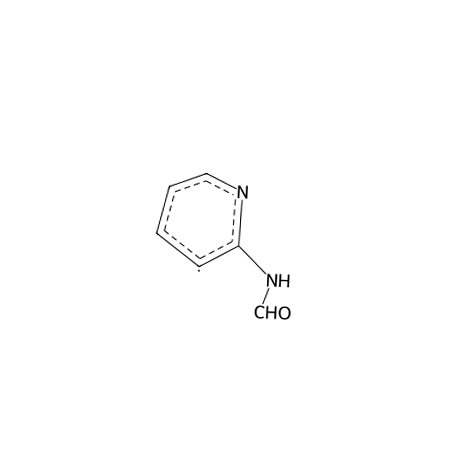 O=CNc1[c]cccn1